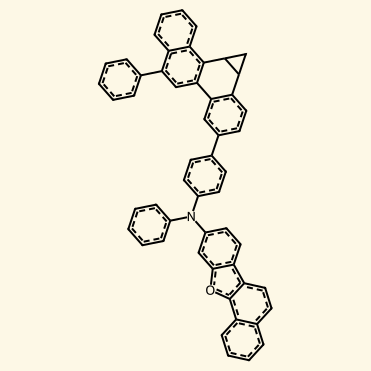 c1ccc(-c2cc3c(c4ccccc24)C2CC2c2ccc(-c4ccc(N(c5ccccc5)c5ccc6c(c5)oc5c7ccccc7ccc65)cc4)cc2-3)cc1